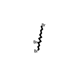 BrCCCCCCCCC(Br)CCCBr